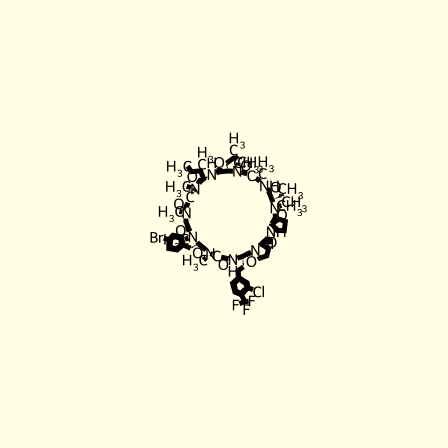 CC[C@H](C)[C@@H]1NC(=O)[C@H](CC(C)C)N(C)C(=O)C[C@@H](C)NC(=O)[C@H](C(C)C)N(C)C(=O)C2(CCCC2)NC(=O)[C@@H]2CCCN2C(=O)[C@H](CCc2ccc(C(F)(F)F)c(Cl)c2)NC(=O)CN(C)C(=O)[C@H](Cc2ccc(Br)cc2)N(C)C(=O)CN(C)C(=O)CN(C)C1=O